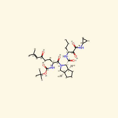 CCC[C@H](NC(=O)[C@@H]1[C@H]2CCC[C@H]2CN1C(=O)[C@H](CCC(=O)C=C(C)C)NC(=O)OC(C)(C)C)C(=O)C(=O)NC1CC1